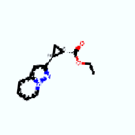 CCOC(=O)[C@H]1C[C@@H]1c1cc2ccccn2n1